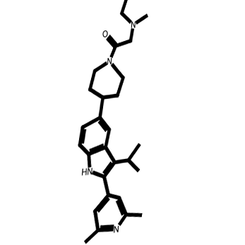 CCN(C)CC(=O)N1CCC(c2ccc3[nH]c(-c4cc(C)nc(C)c4)c(C(C)C)c3c2)CC1